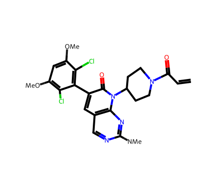 C=CC(=O)N1CCC(n2c(=O)c(-c3c(Cl)c(OC)cc(OC)c3Cl)cc3cnc(NC)nc32)CC1